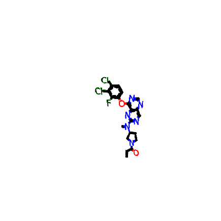 C=CC(=O)N1CC[C@H](N(C)c2ncc3ncnc(Oc4ccc(Cl)c(Cl)c4F)c3n2)C1